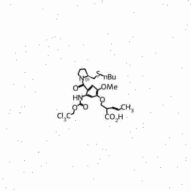 CC=CC(COc1cc(NC(=O)OCC(Cl)(Cl)Cl)c(C(=O)N2CCC[C@H]2CSCCCC)cc1OC)C(=O)O